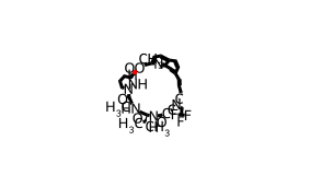 CC(C)[C@@H]1NC(=O)CCN(CC(F)(F)F)CC/C=C/c2ccc3ccc(nc3c2)[C@@H](C)OC(=O)[C@@H]2CCCN(N2)C(=O)[C@H](C)NC1=O